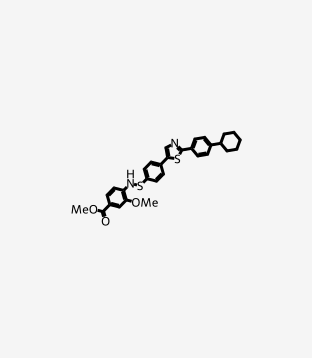 COC(=O)c1ccc(NSc2ccc(-c3cnc(-c4ccc(C5CCCCC5)cc4)s3)cc2)c(OC)c1